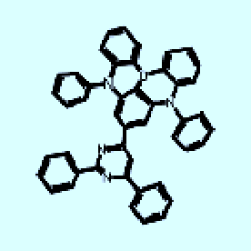 c1ccc(-c2cc(-c3cc4c5c(c3)N(c3ccccc3)c3ccccc3B5c3ccccc3N4c3ccccc3)nc(-c3ccccc3)n2)cc1